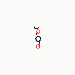 CCC(C)OCc1ccc(COC)cc1